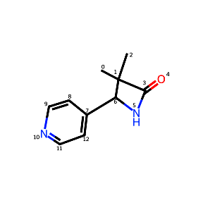 CC1(C)C(=O)NC1c1ccncc1